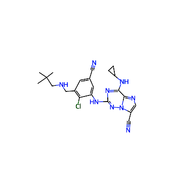 CC(C)(C)CNCc1cc(C#N)cc(Nc2nc(NC3CC3)c3ncc(C#N)n3n2)c1Cl